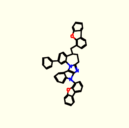 c1ccc(-c2ccc3c(c2)-n2c(nc4c2c2ccccc2n4-c2cccc4c2oc2ccccc24)CCC3Cc2cccc3c2oc2ccccc23)cc1